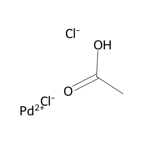 CC(=O)O.[Cl-].[Cl-].[Pd+2]